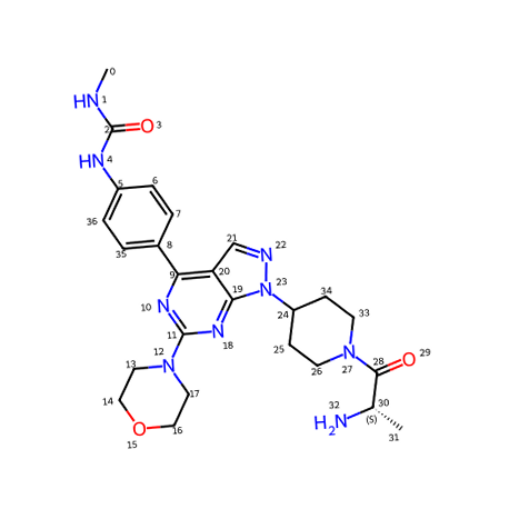 CNC(=O)Nc1ccc(-c2nc(N3CCOCC3)nc3c2cnn3C2CCN(C(=O)[C@H](C)N)CC2)cc1